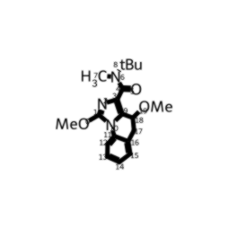 COc1nc(C(=O)N(C)C(C)(C)C)c2n1-c1ccccc1CC2OC